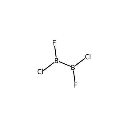 FB(Cl)B(F)Cl